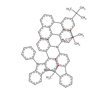 CC(C)(C)c1cc(-c2cccc3cccc(-c4ccccc4N(c4ccc5c(c4)C(C)(C)c4ccccc4-5)c4ccccc4-c4cccc5c6ccccc6n(-c6ccccc6)c45)c23)cc(C(C)(C)C)c1